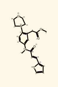 COC(=O)Cc1cc(N(C)C(=O)/C=C/c2cccs2)ccc1N1CCOCC1